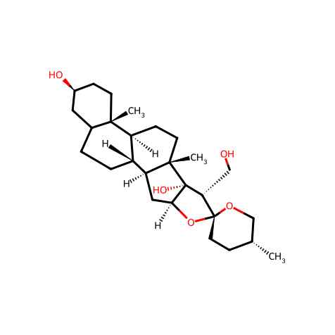 C[C@@H]1CC[C@@]2(OC1)O[C@H]1C[C@H]3[C@@H]4CCC5C[C@@H](O)CC[C@]5(C)[C@H]4CC[C@]3(C)[C@@]1(O)[C@@H]2CO